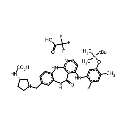 Cc1cc(F)c(Nc2ccnc3c2C(=O)Nc2cc(CN4CC[C@H](NC(=O)O)C4)ccc2N3)cc1O[Si](C)(C)C(C)(C)C.O=C(O)C(F)(F)F